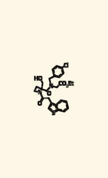 CCOC(=O)CN(Cc1ccc(Cl)cc1)C(=O)C1(CO)CCN1C(=O)Cc1csc2ccccc12